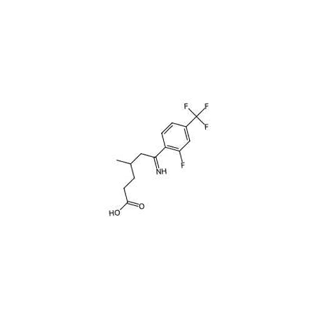 CC(CCC(=O)O)CC(=N)c1ccc(C(F)(F)F)cc1F